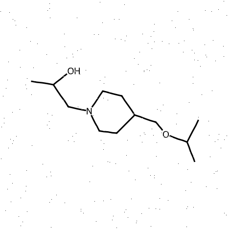 CC(O)CN1CCC(COC(C)C)CC1